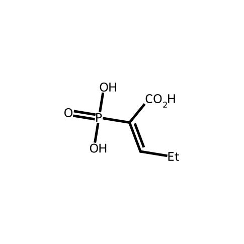 CC/C=C(\C(=O)O)P(=O)(O)O